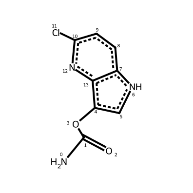 NC(=O)Oc1c[nH]c2ccc(Cl)nc12